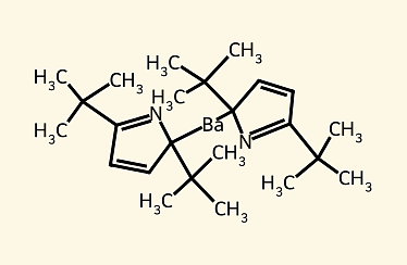 CC(C)(C)C1=N[C]([Ba][C]2(C(C)(C)C)C=CC(C(C)(C)C)=N2)(C(C)(C)C)C=C1